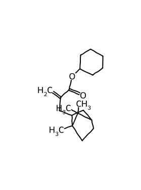 C=C(CC1CC2CCC1(C)C2(C)C)C(=O)OC1CCCCC1